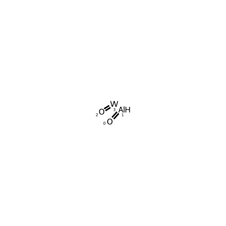 [O]=[AlH].[O]=[W]